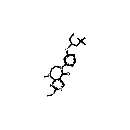 [CH2]CC(CC(C)(C)C)Oc1cccc(N2CCN(C)c3nc(SC)ncc3C2=O)c1